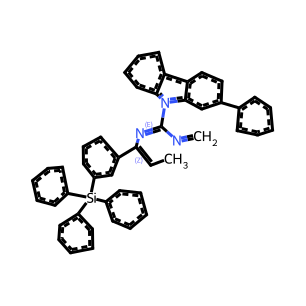 C=N/C(=N\C(=C/C)c1cccc([Si](c2ccccc2)(c2ccccc2)c2ccccc2)c1)n1c2ccccc2c2ccc(-c3ccccc3)cc21